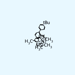 CC1=C[CH]([Zr]([Cl])([Cl])([CH]2C(C)=Cc3c(-c4ccc(C(C)(C)C)cc4)cccc32)[SiH](C)C)C(C)=C1